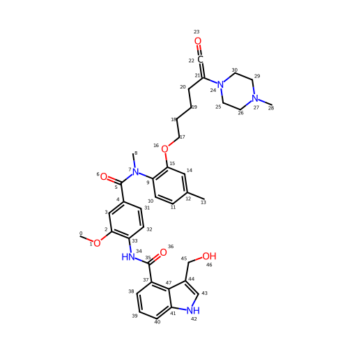 COc1cc(C(=O)N(C)c2ccc(C)cc2OCCCCC(=C=O)N2CCN(C)CC2)ccc1NC(=O)c1cccc2[nH]cc(CO)c12